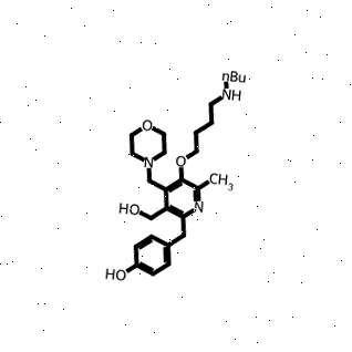 CCCCNCCCCOc1c(C)nc(Cc2ccc(O)cc2)c(CO)c1CN1CCOCC1